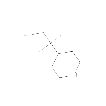 CC(C)(CO)C1CCNCC1